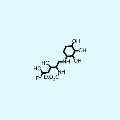 CCOC(=O)NC(CNC1CCC(O)C(O)C1O)C(O)CC(O)CC